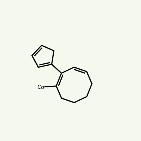 [Co]/[C]1=C(C2=CC=CC2)/C=C\CCCC1